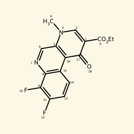 CCOC(=O)c1cn(C)c2cnc3c(F)c(F)ccc3c2c1=O